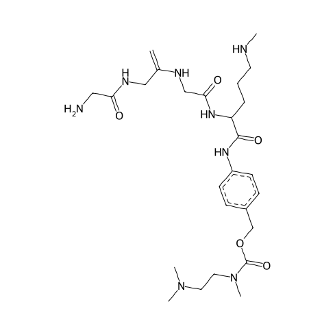 C=C(CNC(=O)CN)NCC(=O)NC(CCCNC)C(=O)Nc1ccc(COC(=O)N(C)CCN(C)C)cc1